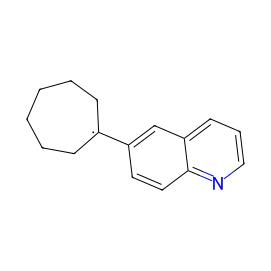 c1cnc2ccc([C]3CCCCCC3)cc2c1